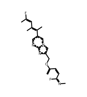 C=C(/C=C\C(F)=N/C)OCc1cn2cc(/C(C)=C(C)/C=C(\C)F)cnc2n1